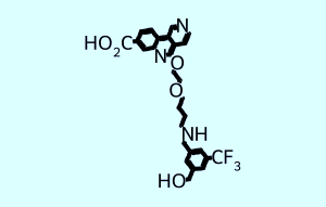 O=C(O)c1ccc2c(c1)nc(OCCOCCCCNCc1cc(CO)cc(C(F)(F)F)c1)c1ccncc12